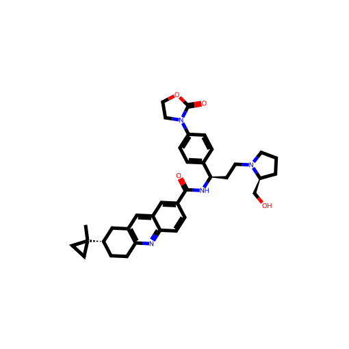 CC1([C@H]2CCc3nc4ccc(C(=O)N[C@H](CCN5CCC[C@H]5CO)c5ccc(N6CCOC6=O)cc5)cc4cc3C2)CC1